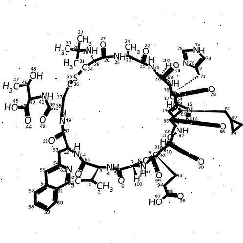 CC(C)[C@@H]1NC(=O)[C@@H]2CCCCn3cc(nn3)CC[C@H](NC(=O)[C@H](C)NC(=O)[C@@H](NC(C)(C)C)CSCC[C@@H](C(=O)NC(C(=O)O)[C@@H](C)O)NC(=O)C(Cc3cc4ccccc4cn3)NC1=O)C(=O)N[C@@H](Cc1c[nH]cn1)C(=O)N[C@@H](CC1CC1)C(=O)NCC(=O)N[C@@H](CCC(=O)O)C(=O)N2